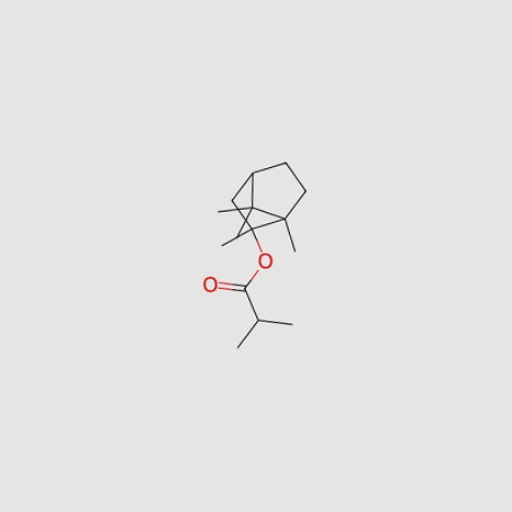 CC(C)C(=O)OC1(C)CC2CCC1(C)C2(C)C